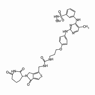 Cc1cnc(Nc2ccc(OCCCNC(=O)NCc3scc4c3CN(C3CCCC(=O)NC3=O)C4=O)cc2)nc1Nc1cccc(S(=O)(=O)NC(C)(C)C)c1